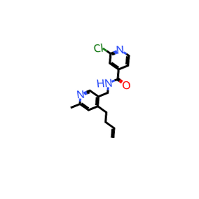 C=CCCc1cc(C)ncc1CNC(=O)c1ccnc(Cl)c1